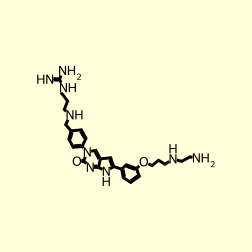 N=C(N)NCCCNCc1ccc(-n2cc3cc(-c4cccc(OCCCNCCN)c4)[nH]c3nc2=O)cc1